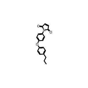 CCCc1ccc(Oc2ccc(N3C(=O)C=CC3=O)cc2)cc1